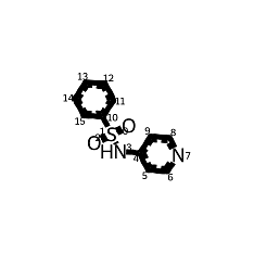 O=S(=O)(Nc1ccncc1)c1ccccc1